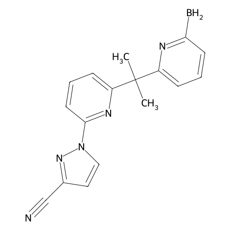 Bc1cccc(C(C)(C)c2cccc(-n3ccc(C#N)n3)n2)n1